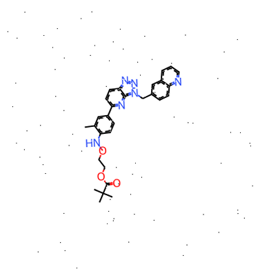 Cc1cc(-c2ccc3nnn(Cc4ccc5ncccc5c4)c3n2)ccc1NOCCOC(=O)C(C)(C)C